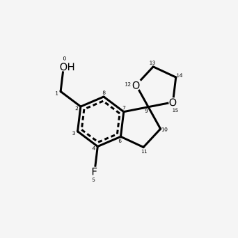 OCc1cc(F)c2c(c1)C1(CC2)OCCO1